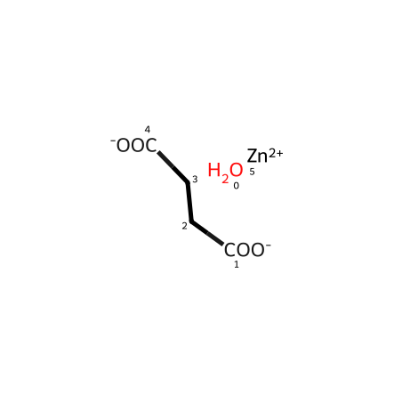 O.O=C([O-])CCC(=O)[O-].[Zn+2]